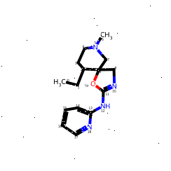 CCC1CCN(C)CC12CN=C(Nc1ccccn1)O2